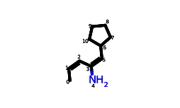 C/C=C\C(N)=C/C1CCCC1